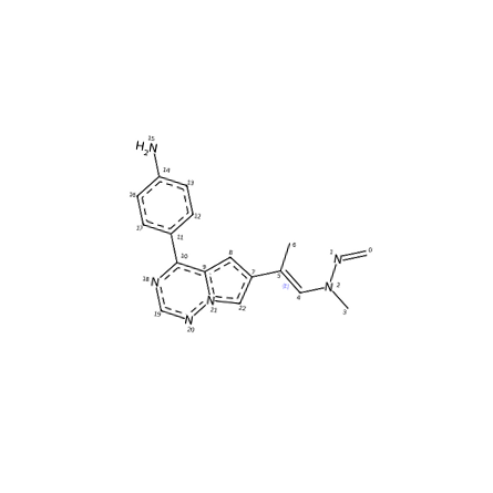 C=NN(C)/C=C(\C)c1cc2c(-c3ccc(N)cc3)ncnn2c1